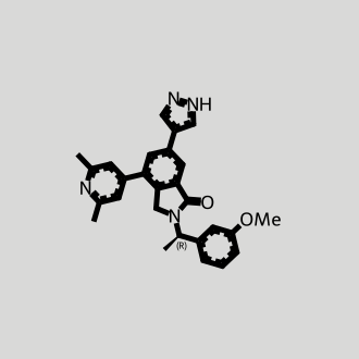 COc1cccc([C@@H](C)N2Cc3c(cc(-c4cn[nH]c4)cc3-c3cc(C)nc(C)c3)C2=O)c1